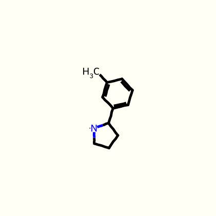 Cc1cccc(C2CCC[N]2)c1